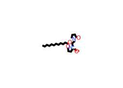 CCCCCCCCCCCC(=O)OC(CN1CCCC1=O)C[N+]1(C)CCC[C@@H]1COC